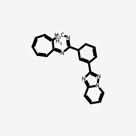 C/N=C(\N=c1\cccccc1C)C1C=C(c2nc3ccccn3n2)C=CC1